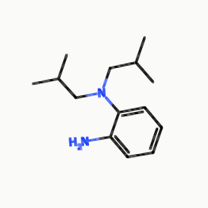 CC(C)CN(CC(C)C)c1ccccc1N